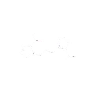 CC(O)n1nnnc1CCCc1nnnn1C(C)O